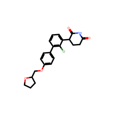 O=C1CCC(c2cccc(-c3ccc(OCC4CCCO4)cc3)c2Cl)C(=O)N1